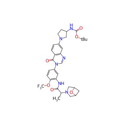 CC(C(=O)Nc1cc(-n2cnc3cc(N4CCC(NC(=O)OC(C)(C)C)C4)ccc3c2=O)ccc1OC(F)(F)F)N1CC2CC(C1)O2